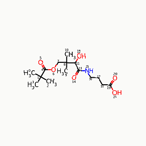 CC(C)(C)C(=O)OCC(C)(C)C(O)C(=O)NCCCC(=O)O